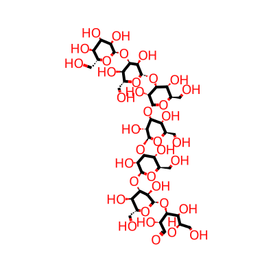 O=C[C@H](O)[C@@H](O[C@@H]1O[C@H](CO)[C@@H](O)[C@H](O[C@@H]2O[C@H](CO)[C@@H](O)[C@H](O[C@@H]3O[C@H](CO)[C@@H](O)[C@H](O[C@@H]4O[C@H](CO)[C@@H](O)[C@H](O[C@@H]5O[C@H](CO)[C@@H](O)[C@H](O[C@@H]6O[C@H](CO)[C@@H](O)[C@H](O)[C@H]6O)[C@H]5O)[C@H]4O)[C@H]3O)[C@H]2O)[C@H]1O)[C@H](O)[C@H](O)CO